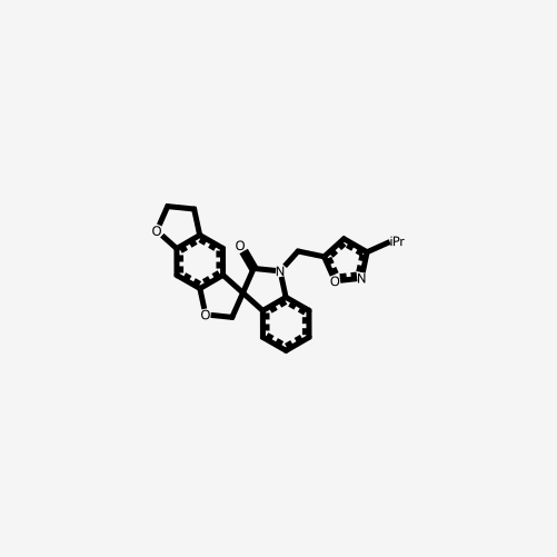 CC(C)c1cc(CN2C(=O)C3(COc4cc5c(cc43)CCO5)c3ccccc32)on1